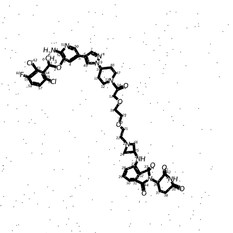 CC(Oc1cc(-c2cnn(C3CCN(C(=O)COCCOCCN4CC(Nc5cccc6c5C(=O)N(C5CCC(=O)NC5=O)C6=O)C4)CC3)c2)cnc1N)c1c(Cl)ccc(F)c1Cl